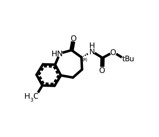 Cc1ccc2c(c1)CC[C@@H](NC(=O)OC(C)(C)C)C(=O)N2